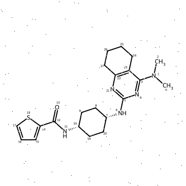 CN(C)c1nc(N[C@H]2CC[C@@H](NC(=O)c3cccs3)CC2)nc2c1CCCC2